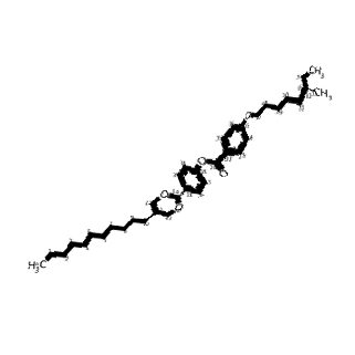 CCCCCCCCCCC[C@H]1CO[C@H](c2ccc(OC(=O)c3ccc(OCCCCC[C@@H](C)CC)cc3)cc2)OC1